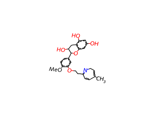 COc1ccc(C2Oc3cc(O)cc(O)c3CC2O)cc1OCCC1=NCC=C(C)C=C1